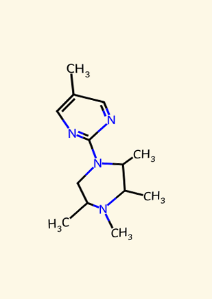 Cc1cnc(N2CC(C)N(C)C(C)C2C)nc1